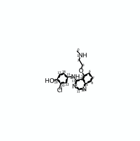 CNCCOc1cccc2ncnc(Nc3ccc(O)c(Cl)c3)c12